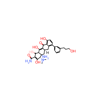 B=C1C(C(N)=O)=C(O)[C@@H](N(C)C)[C@]2(N)C[C@@H]3Cc4c(-c5cccc(CCCO)c5)ccc(O)c4C(=O)C3=C(O)C12